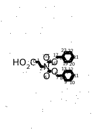 O=C(O)CCN(C(=O)OCc1ccccc1)C(=O)OCc1ccccc1